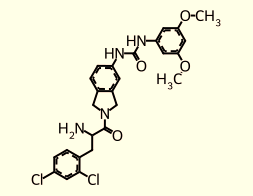 COc1cc(NC(=O)Nc2ccc3c(c2)CN(C(=O)C(N)Cc2ccc(Cl)cc2Cl)C3)cc(OC)c1